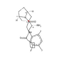 N[C@H](Cc1cc(F)c(F)cc1F)[C@@H]1C[C@H]2CC[C@@H](C1)N2C(=O)CNC(=O)C1CCC1